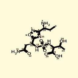 CC[C@H](N)c1noc([C@H](CC(N)=O)NS(=O)(=O)NC(C(=O)O)C(C)O)n1